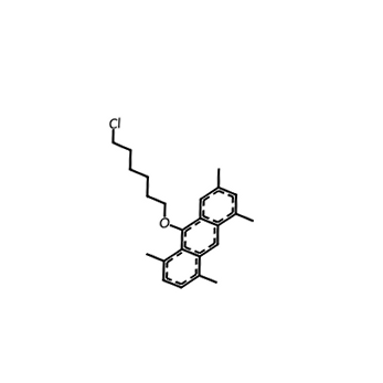 Cc1cc(C)c2cc3c(C)ccc(C)c3c(OCCCCCCCl)c2c1